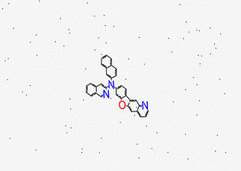 c1ccc2cc(N(c3ccc4c(c3)oc3cc5cccnc5cc34)c3cc4ccccc4cn3)ccc2c1